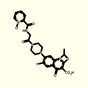 CC1Sc2c(C(=O)O)c(=O)c3cc(F)c(N4CCN(C(=O)CNC(=O)c5cccc[n+]5[O-])CC4)cc3n21